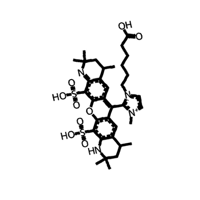 CC1CC(C)(C)Nc2c1cc1c(c2S(=O)(=O)O)Oc2c(S(=O)(=O)O)c3c(cc2=C1c1n(CCCCCC(=O)O)cc[n+]1C)C(C)CC(C)(C)N=3